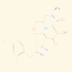 CC(C)N1CC2COCc3c(-c4nnc(Cc5ccc(F)cc5F)s4)c(=O)c(O)c(n32)C1=O